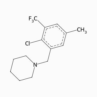 Cc1cc(CN2CCCCC2)c(Cl)c(C(F)(F)F)c1